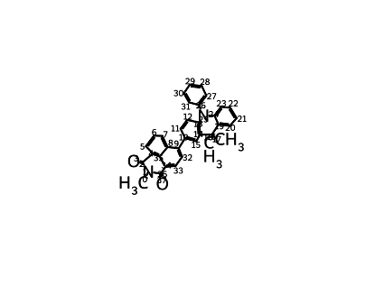 CN1C(=O)c2cccc3c(-c4ccc5c(c4)C(C)(C)c4ccccc4N5c4ccccc4)ccc(c23)C1=O